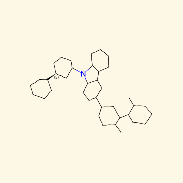 CC1CCCCC1C1CC(C2CCC3C(C2)C2CCCCC2N3C2CCC[C@H](C3CCCCC3)C2)CCC1C